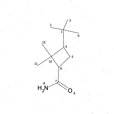 CC(C)(C)C1CC(C(N)=O)C1(C)C